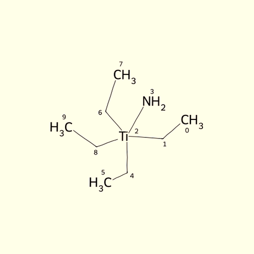 C[CH2][Ti]([NH2])([CH2]C)([CH2]C)[CH2]C